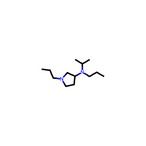 CCCN1CCC(N(CCC)C(C)C)C1